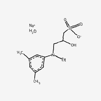 CCN(CC(O)CS(=O)(=O)[O-])c1cc(C)cc(C)c1.O.[Na+]